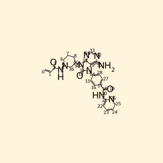 C=CC(=O)NN1CCC[C@@H](n2c(=O)n(-c3ccc(C(=O)Nc4ccccn4)cc3)c3c(N)ncnc32)C1